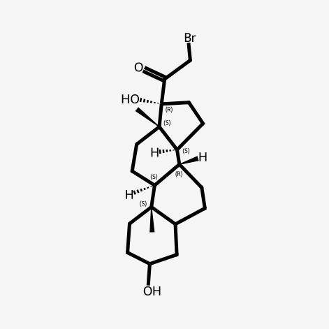 C[C@]12CCC(O)CC1CC[C@@H]1[C@@H]2CC[C@@]2(C)[C@H]1CC[C@]2(O)C(=O)CBr